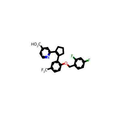 O=C(O)c1ccnc(C2=C(c3cc(C(F)(F)F)ccc3OCc3ccc(F)cc3F)CCC2)c1